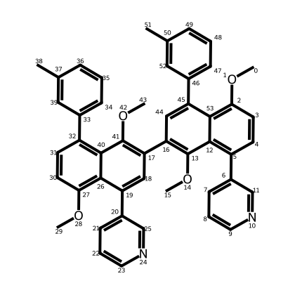 COc1ccc(-c2cccnc2)c2c(OC)c(-c3cc(-c4cccnc4)c4c(OC)ccc(-c5cccc(C)c5)c4c3OC)cc(-c3cccc(C)c3)c12